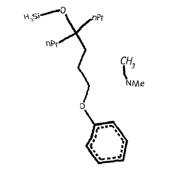 CCCC(CCC)(CCCOc1ccccc1)O[SiH3].CNC